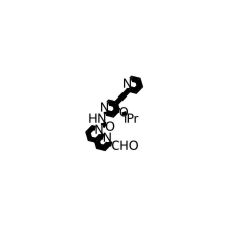 CC(C)Oc1cc(NC(=O)N2CCCc3ccc(C=O)nc32)ncc1C#Cc1ccccn1